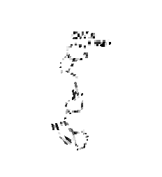 COc1cc2c(cc1OC)C(CN1CCN(c3nsc4ccccc34)CC1)CC2